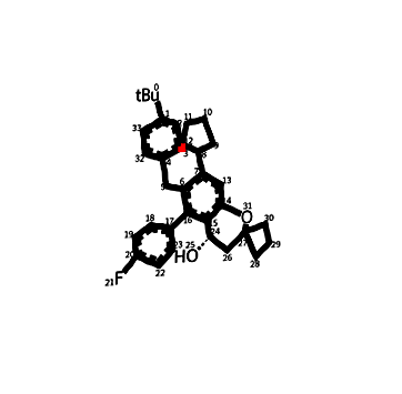 CC(C)(C)c1ccc(Cc2c(C3CCCC3)cc3c(c2-c2ccc(F)cc2)[C@@H](O)CC2(CCC2)O3)cc1